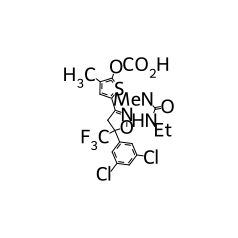 CCNC(=O)NC.Cc1cc(C2=NOC(c3cc(Cl)cc(Cl)c3)(C(F)(F)F)C2)sc1OC(=O)O